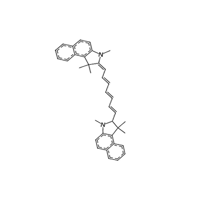 CN1/C(=C/C=C/C=C/C=C/C2N(C)c3ccc4ccccc4c3C2(C)C)C(C)(C)c2c1ccc1ccccc21